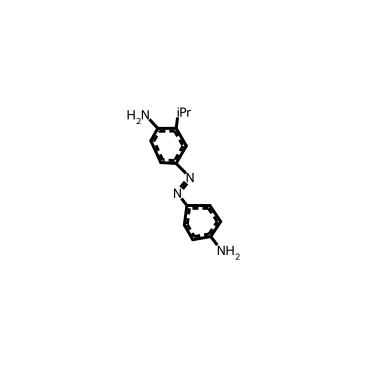 CC(C)c1cc(N=Nc2ccc(N)cc2)ccc1N